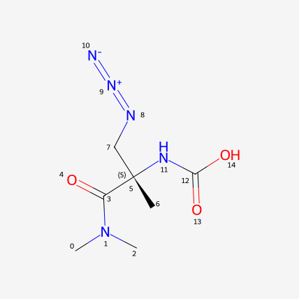 CN(C)C(=O)[C@](C)(CN=[N+]=[N-])NC(=O)O